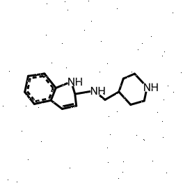 C1=CC(NCC2CCNCC2)Nc2ccccc21